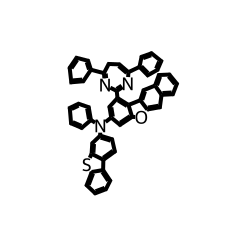 C1=C(c2ccccc2)N=C(c2cc(N(c3ccccc3)c3ccc4c(c3)sc3ccccc34)cc3oc4cc5ccccc5cc4c23)N=C(c2ccccc2)C1